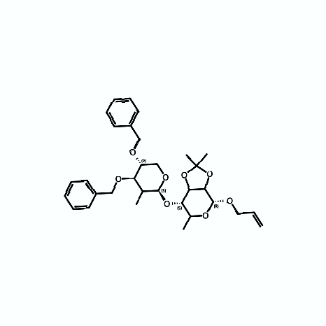 C=CCO[C@@H]1OC(C)[C@H](O[C@@H]2OC[C@@H](OCc3ccccc3)C(OCc3ccccc3)C2C)C2OC(C)(C)OC21